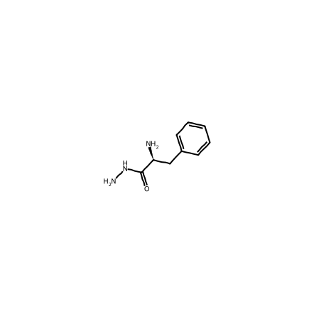 NNC(=O)[C@@H](N)Cc1ccccc1